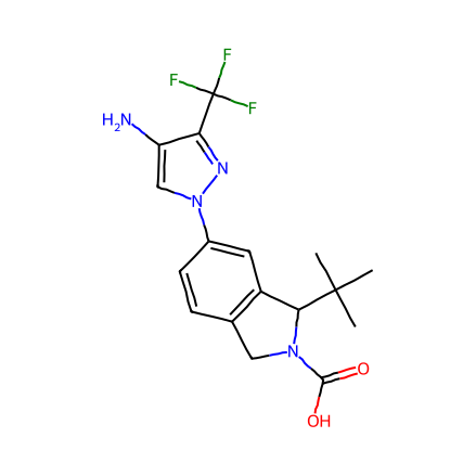 CC(C)(C)C1c2cc(-n3cc(N)c(C(F)(F)F)n3)ccc2CN1C(=O)O